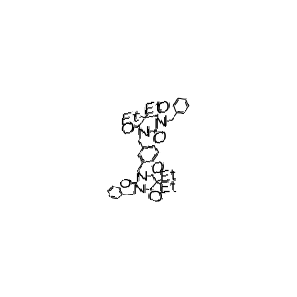 CCC1(CC)C(=O)N(Cc2ccccc2)C(=O)N(Cc2cccc(CN3C(=O)N(Cc4ccccc4)C(=O)C(CC)(CC)C3=O)c2)C1=O